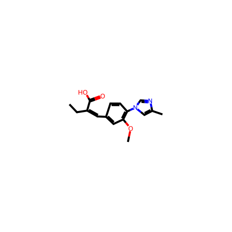 CCC(=Cc1ccc(-n2cnc(C)c2)c(OC)c1)C(=O)O